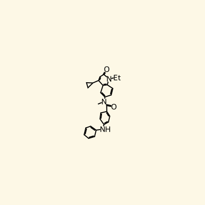 CCn1c(=O)cc(C2CC2)c2cc(N(C)C(=O)c3ccc(Nc4ccccc4)cc3)ccc21